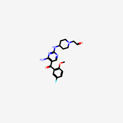 COc1ccc(F)cc1C(=O)c1cnc(NC2CCN(CC=O)CC2)nc1N